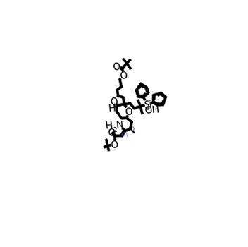 C[C@H](CC1CC[C@@H]2OC(CCCOC(=O)C(C)(C)C)CC2(CCC(C)(C)[Si](O)(c2ccccc2)c2ccccc2)O1)/C(N)=C/C(=O)OC(C)(C)C